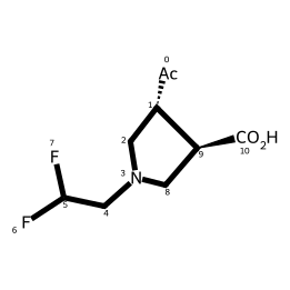 CC(=O)[C@H]1CN(CC(F)F)C[C@@H]1C(=O)O